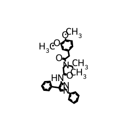 COc1ccc(CC(=O)N(CC(=O)Nc2nn(-c3ccccc3)cc2-c2ccccc2)C(C)C)cc1OC